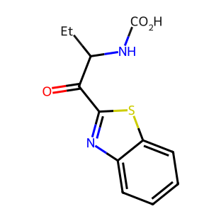 CCC(NC(=O)O)C(=O)c1nc2ccccc2s1